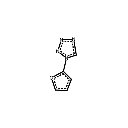 [c]1nnnn1-c1ccco1